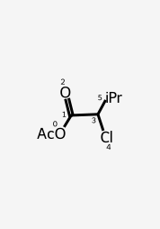 CC(=O)OC(=O)C(Cl)C(C)C